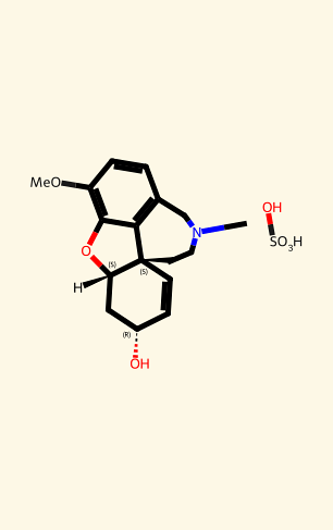 COc1ccc2c3c1O[C@H]1C[C@@H](O)C=C[C@@]31CCN(C)C2.O=S(=O)(O)O